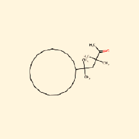 CC(=O)C(C)(C)CC(C)(C)C1CCCCCCCCCCCCCCCC1